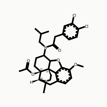 COc1ccc2c3c1OC1C(N(CC(C)C)C(=O)Cc4ccc(Cl)c(Cl)c4)CC[C@@]4(OC(C)=O)[C@@H](C2)N(C)CC[C@]314